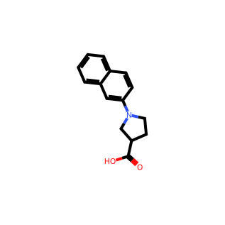 O=C(O)C1CCN(c2ccc3ccccc3c2)C1